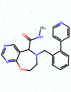 CC(C)(C)NC(=O)C1c2cncnc2OCCN1Cc1ccccc1-c1ccncc1